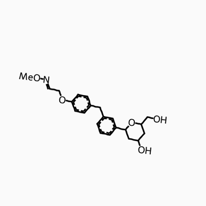 CO/N=C/COc1ccc(Cc2cccc(C3CC(O)CC(CO)O3)c2)cc1